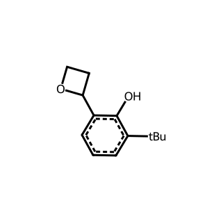 CC(C)(C)c1cccc(C2CCO2)c1O